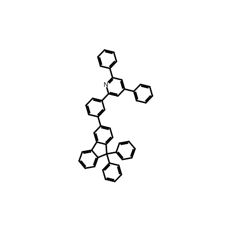 c1ccc(-c2cc(-c3ccccc3)nc(-c3cccc(-c4ccc5c(c4)-c4ccccc4C5(c4ccccc4)c4ccccc4)c3)c2)cc1